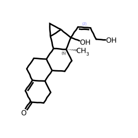 C[C@]12CCC3C4CCC(=O)C=C4CCC3C1C1CC1C2(O)/C=C\CO